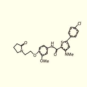 CNc1cc(-c2ccc(Cl)cc2)sc1C(=O)Nc1ccc(OCCN2CCCC2=O)c(OC)c1